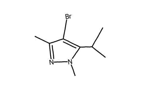 Cc1nn(C)c(C(C)C)c1Br